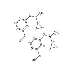 CC(Oc1cccc(CCl)c1)C1CC1.CC(Oc1cccc(CO)c1)C1CC1